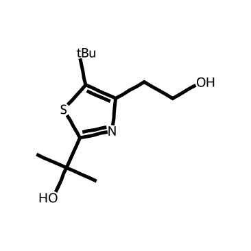 CC(C)(C)c1sc(C(C)(C)O)nc1CCO